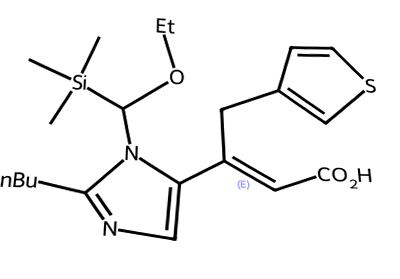 CCCCc1ncc(/C(=C/C(=O)O)Cc2ccsc2)n1C(OCC)[Si](C)(C)C